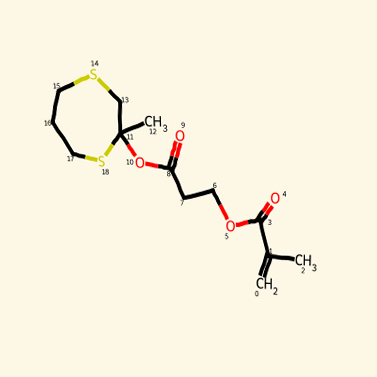 C=C(C)C(=O)OCCC(=O)OC1(C)CSCCCS1